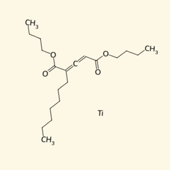 CCCCCCCC(=C=CC(=O)OCCCC)C(=O)OCCCC.[Ti]